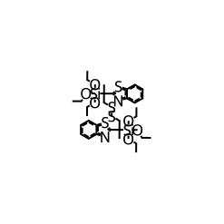 CCO[Si](OCC)(OCC)C(C)(CSSCC(C)(c1nc2ccccc2s1)[Si](OCC)(OCC)OCC)c1nc2ccccc2s1